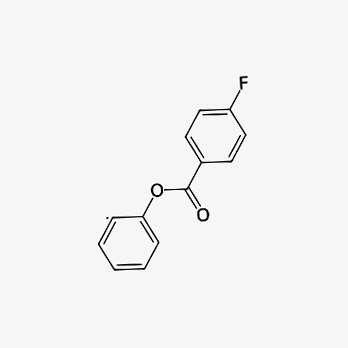 O=C(Oc1[c]cccc1)c1ccc(F)cc1